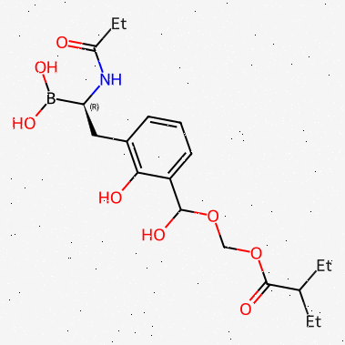 CCC(=O)N[C@@H](Cc1cccc(C(O)OCOC(=O)C(CC)CC)c1O)B(O)O